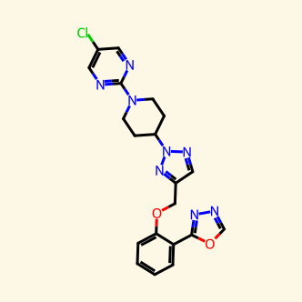 Clc1cnc(N2CCC(n3ncc(COc4ccccc4-c4nnco4)n3)CC2)nc1